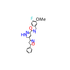 COc1cc(CN(C)C(=O)C2=NNCC(C3=NOC(c4ccccc4)C3)=C2)ccc1F